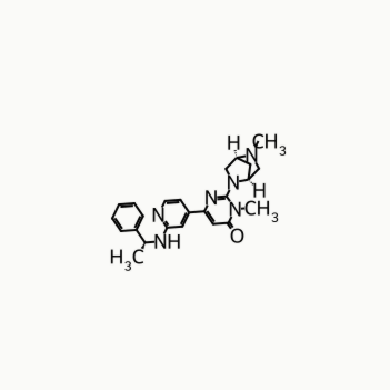 C[C@H](Nc1cc(-c2cc(=O)n(C)c(N3C[C@@H]4C[C@H]3CN4C)n2)ccn1)c1ccccc1